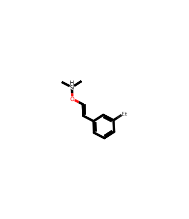 CCc1cccc(C=CO[SiH](C)C)c1